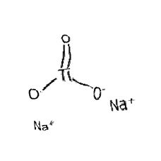 [Na+].[Na+].[O]=[Ti]([O-])[O-]